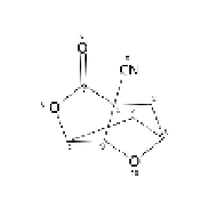 N#CC12CC3CC(OC1=O)C2O3